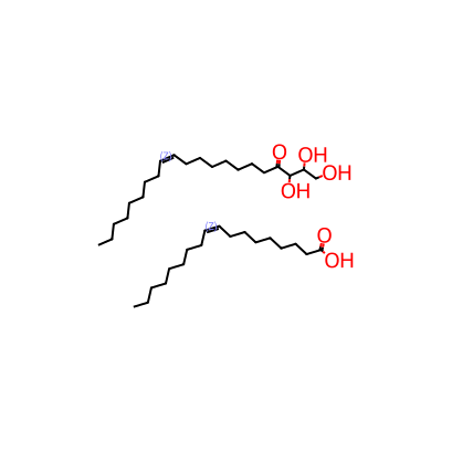 CCCCCCCC/C=C\CCCCCCCC(=O)C(O)C(O)CO.CCCCCCCC/C=C\CCCCCCCC(=O)O